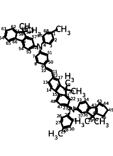 Cc1ccc(N(c2ccc(/C=C/c3ccc4c(c3)C(C)(C)c3cc(N(c5ccc(C)cc5)c5ccc6c(c5)C(C)(C)C5=C6C=CCC5)ccc3-4)cc2)c2ccc3c(c2)C(C)(C)c2ccccc2-3)cc1